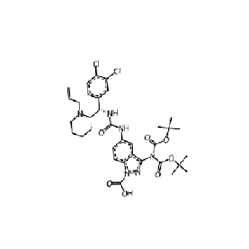 C=CCN1CCCC[C@H]1[C@@H](NC(=O)Nc1ccc2c(c1)c(N(C(=O)OC(C)(C)C)C(=O)OC(C)(C)C)nn2C(=O)O)c1ccc(Cl)c(Cl)c1